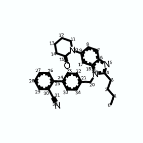 CCCCc1nc2ccc(N3CCCCC3=O)cc2n1Cc1ccc(-c2ccccc2C#N)cc1